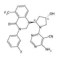 N#Cc1c(N)ncnc1N1C[C@@H](O)C[C@@H]1N1CN(c2cccc(F)c2)C(=O)c2c1cccc2C(F)(F)F